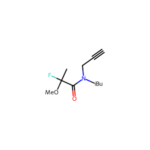 C#CCN(C(=O)C(C)(F)OC)C(C)CC